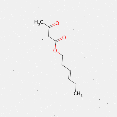 CC/C=C/CCOC(=O)CC(C)=O